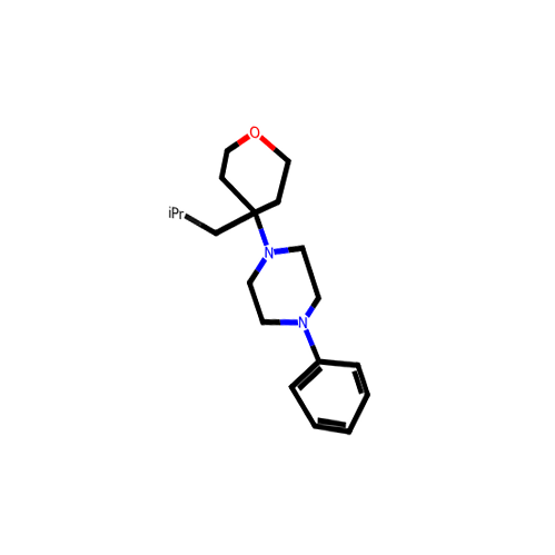 CC(C)CC1(N2CCN(c3ccccc3)CC2)CCOCC1